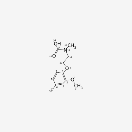 COc1cc(F)ccc1OCCN(C)C(=O)O